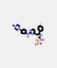 CCS(=O)(=O)Nc1nc(-c2ccc(F)cc2)c(-c2ccnc(Nc3ccc(N4CCN(C)CC4)cc3)n2)s1